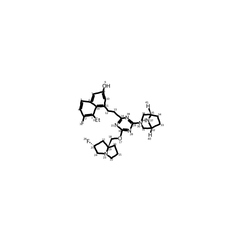 CCc1c(F)ccc2cc(O)cc(CCc3nc(OC[C@@]45CCCN4C[C@H](F)C5)nc(N4C[C@H]5CC[C@@H](C4)N5)n3)c12